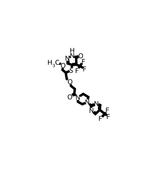 COCC(COCCC(=O)N1CCN(c2ncc(C(F)(F)F)cn2)CC1)Sc1cn[nH]c(=O)c1C(F)(F)F